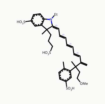 C=C(/C=C/C=C/C=C/C=C1/N(CC)c2ccc(S(=O)(=O)O)cc2C1(C)CCCS(=O)(=O)O)C(C)(CCOC)c1cc(S(=O)(=O)O)ccc1C